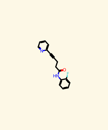 O=C(CCC#Cc1ccccn1)Nc1ccccc1F